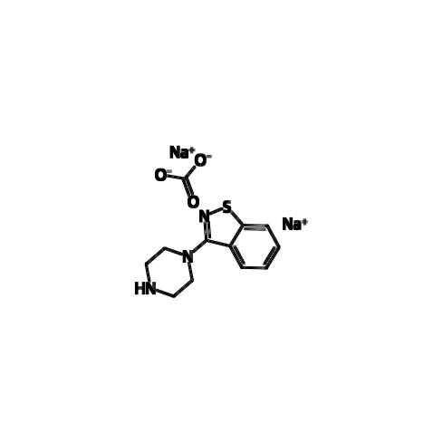 O=C([O-])[O-].[Na+].[Na+].c1ccc2c(N3CCNCC3)nsc2c1